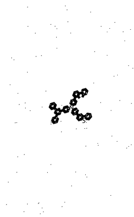 CC1=C(c2cccc(-c3ccc(N(c4ccc(-c5cc(-c6ccccc6)cc(-c6ccccc6)c5)cc4)c4ccc(-c5ccc6sc7ccccc7c6c5)cc4)cc3)c2C)CCC=C1